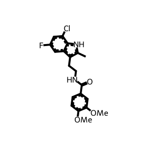 COc1ccc(C(=O)NCCc2c(C)[nH]c3c(Cl)cc(F)cc23)cc1OC